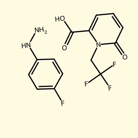 NNc1ccc(F)cc1.O=C(O)c1cccc(=O)n1CC(F)(F)F